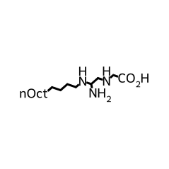 CCCCCCCCCCCCNC(N)CNCC(=O)O